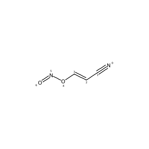 N#CC=CON=O